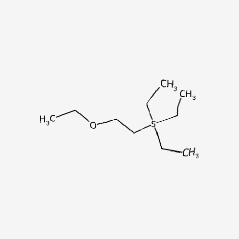 CCOCCS(CC)(CC)CC